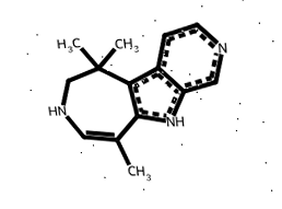 CC1=CNCC(C)(C)c2c1[nH]c1cnccc21